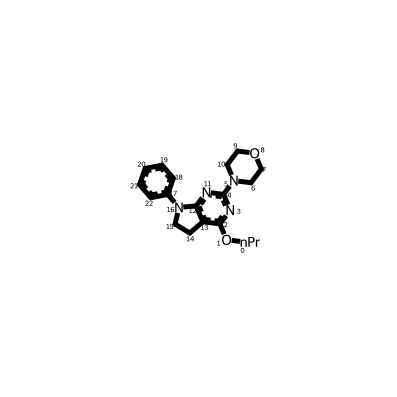 CCCOc1nc(N2CCOCC2)nc2c1CCN2c1ccccc1